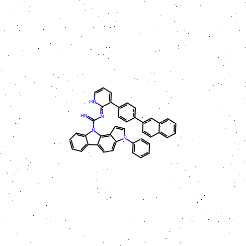 N=C(/N=c1\[nH]cccc1-c1ccc(-c2ccc3ccccc3c2)cc1)n1c2ccccc2c2ccc3c(ccn3-c3ccccc3)c21